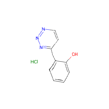 Cl.Oc1ccccc1-c1ccnnn1